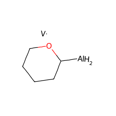 [AlH2][CH]1CCCCO1.[V]